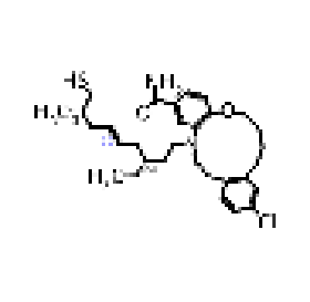 CC[C@@H](C/C=C/C[C@H](C)CS)CCN1CCc2ccc(Cl)cc2CCCCOc2ccc(C(N)=O)cc21